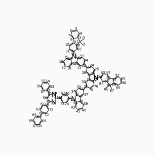 CC1(C)c2ccccc2-c2ccc(-n3c4ccccc4c4cc(-c5ccc6c(c5)c5cc(-c7ccc8c(c7)c7ccccc7n8-c7ccc(-c8nc(-c9ccccc9)cc(-c9ccc(-c%10ccccc%10)cc9)n8)cc7)ccc5n6-c5ccc6c(c5)C(C)(C)c5ccccc5-6)ccc43)cc21